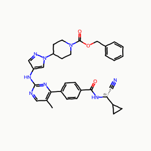 Cc1cnc(Nc2cnn(C3CCN(C(=O)OCc4ccccc4)CC3)c2)nc1-c1ccc(C(=O)N[C@H](C#N)C2CC2)cc1